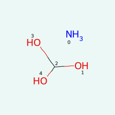 N.OC(O)O